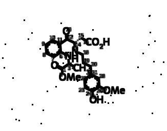 COC(=O)C(C)Nc1ccccc1C(=O)[C@H](CC(=O)O)NCCCc1ccc(O)c(OC)c1